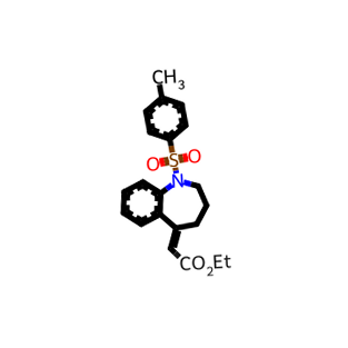 CCOC(=O)C=C1CCCN(S(=O)(=O)c2ccc(C)cc2)c2ccccc21